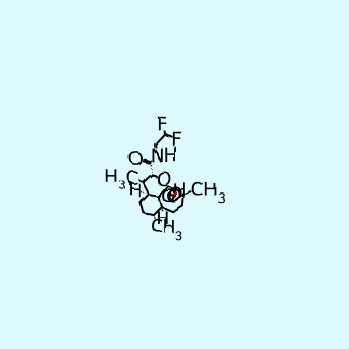 C[C@H]1[C@H](C(=O)NCC(F)F)O[C@@H]2O[C@@]3(C)CC[C@H]4[C@H](C)CC[C@@H]1[C@@]24OO3